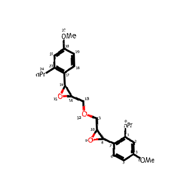 CCCc1cc(OC)ccc1C1OC1COCC1OC1c1ccc(OC)cc1CCC